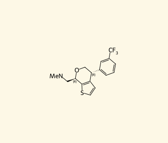 CNC[C@H]1OC[C@H](c2cccc(C(F)(F)F)c2)c2ccsc21